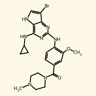 COc1cc(C(=O)N2CCN(C)CC2)ccc1Nc1nc(NC2CC2)c2[nH]cc(Br)c2n1